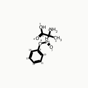 CC(N)(C(=O)O)[PH](=O)Oc1ccccc1